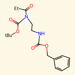 CCC(=O)N(CCNC(=O)OCc1ccccc1)C(=O)OC(C)(C)C